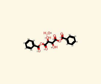 O.O=C(OC(=O)C(O)C(O)C(=O)OC(=O)c1ccccc1)c1ccccc1